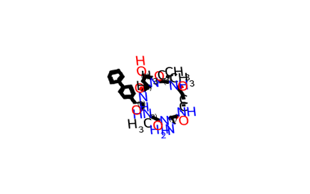 C[C@H]1NC(=O)[C@@H](Cc2ccc(-c3ccccc3)cc2)NC(=O)[C@@H]2C[C@@H](O)CN2C(=O)[C@H](C(C)(C)C)NC(=O)CCCNC(=O)[C@@H](CN)NC1=O